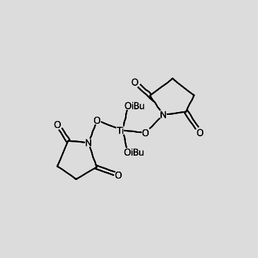 CC(C)C[O][Ti]([O]CC(C)C)([O]N1C(=O)CCC1=O)[O]N1C(=O)CCC1=O